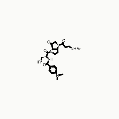 CC(=O)NCCC(=O)N1CC(=O)C2C1CCN2C(=O)[C@H](CC(C)C)NC(=O)c1ccc(N(C)C)cc1